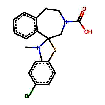 CN(C)C1(Sc2ccc(Br)cc2)CN(C(=O)O)CCc2ccccc21